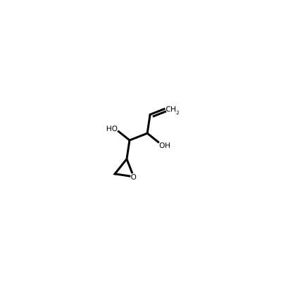 C=CC(O)C(O)C1CO1